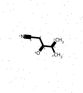 [CH2]C(=C)C(=O)CC#N